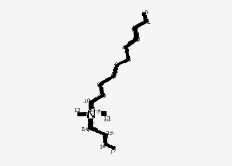 CCCCCCCCCCC[N+](C)(C)CCCC